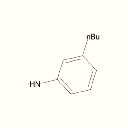 CCCCc1cccc([NH])c1